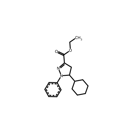 CCOC(=O)C1=NN(c2ccccc2)C(C2CCCCC2)C1